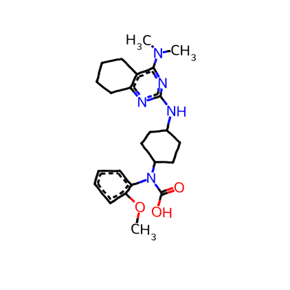 COc1ccccc1N(C(=O)O)C1CCC(Nc2nc3c(c(N(C)C)n2)CCCC3)CC1